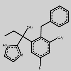 CCC(O)(c1ncc[nH]1)c1cc(F)cc(O)c1Cc1ccccc1